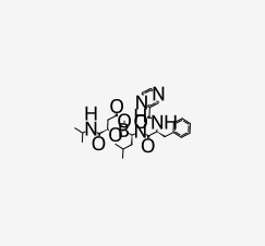 CC(C)C[C@H](NC(=O)[C@H](Cc1ccccc1)NC(=O)c1cnccn1)B1OC(=O)C[C@H](C(=O)NC(C)C)O1